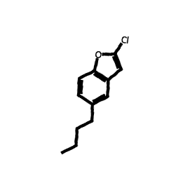 CCCCc1ccc2oc(Cl)cc2c1